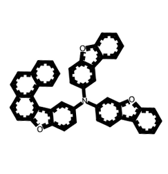 c1ccc2c(c1)ccc1ccc3oc4ccc(N(c5ccc6c(c5)oc5ccccc56)c5ccc6oc7ccccc7c6c5)cc4c3c12